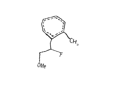 COCC(F)c1ccccc1C